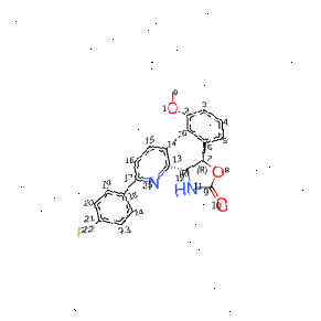 COc1cccc([C@H]2OC(=O)N[C@@H]2c2cccc(-c3ccc(F)cc3)n2)c1